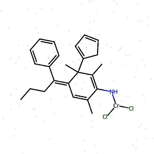 CCCC(=C1C=C(C)C([NH][Cr]([Cl])[Cl])=C(C)C1(C)C1=CC=CC1)c1ccccc1